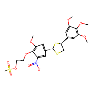 COc1cc([C@H]2CS[C@H](c3cc(OC)c(OCCOS(C)(=O)=O)c([N+](=O)[O-])c3)S2)cc(OC)c1OC